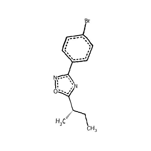 CC[C@H](C)c1nc(-c2ccc(Br)cc2)no1